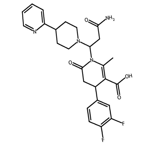 CC1=C(C(=O)O)C(c2ccc(F)c(F)c2)CC(=O)N1C(CC(N)=O)N1CCC(c2ccccn2)CC1